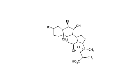 CC[C@@H]1C2C[C@H](O)CCC2(C)C2C[C@H](O)C3(C)C(CCC3[C@H](C)CC(C)C(=O)O)C2[C@@H]1O